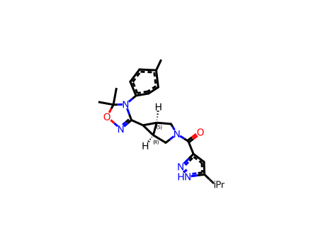 Cc1ccc(N2C(C3[C@H]4CN(C(=O)c5cc(C(C)C)[nH]n5)C[C@@H]34)=NOC2(C)C)cc1